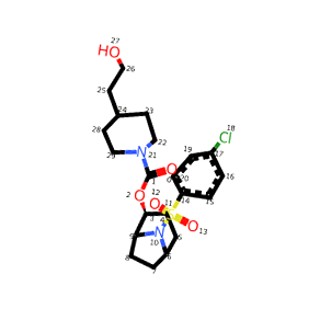 O=C(O[C@H]1CCC2CCC1N2S(=O)(=O)c1ccc(Cl)cc1)N1CCC(CCO)CC1